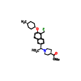 COC(=O)C1CCN(C(C(=O)O)c2ccc3c(CF)c(O[C@H]4CC[C@@H](C)CC4)ccc3c2)CC1